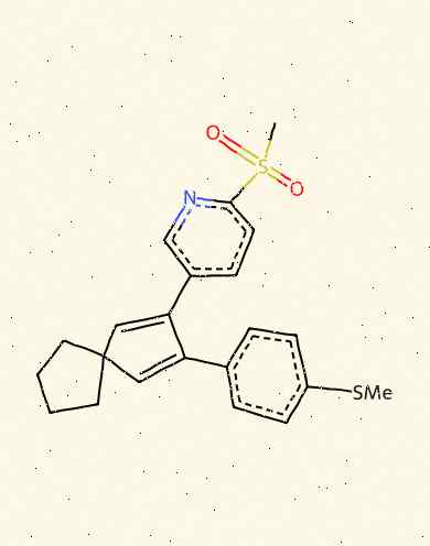 CSc1ccc(C2=CC3(C=C2c2ccc(S(C)(=O)=O)nc2)CCCC3)cc1